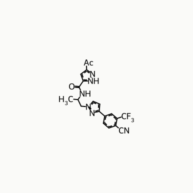 CC(=O)c1cc(C(=O)NC(C)Cn2ccc(-c3ccc(C#N)c(C(F)(F)F)c3)n2)[nH]n1